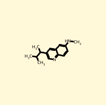 CNc1ccc2ncc(C(C)C(C)C)cc2c1